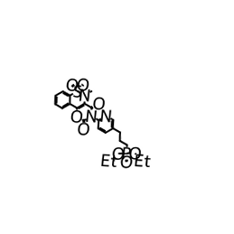 CCOP(=O)(CCCc1ccc(-n2c(=O)oc3c(c2=O)N(C)S(=O)(=O)c2ccccc2-3)nc1)OCC